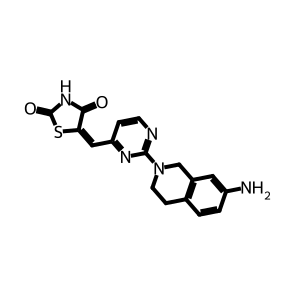 Nc1ccc2c(c1)CN(c1nccc(C=C3SC(=O)NC3=O)n1)CC2